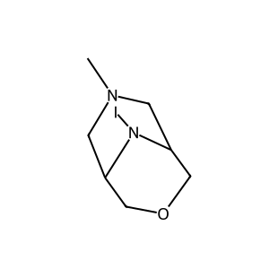 CN1CC2COCC(C1)N2I